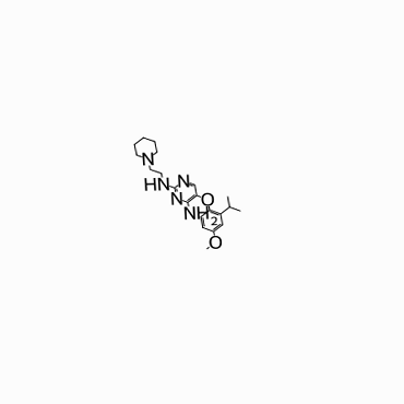 COc1ccc(Oc2cnc(NCCN3CCCCC3)nc2N)c(C(C)C)c1